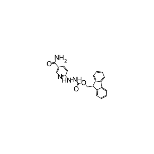 NC(=O)c1ccc(NNC(=O)OCC2c3ccccc3-c3ccccc32)nc1